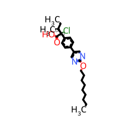 CCCCCCCCCOc1ncc(-c2ccc([C@](Cl)(C(=O)O)[C@@H](C)CC)cc2)cn1